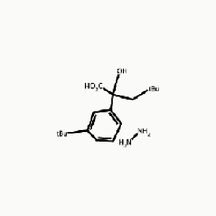 CC(C)(C)CC(O)(C(=O)O)c1cccc(C(C)(C)C)c1.NN